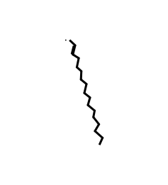 [CH2]C=CCCCCCCCCCCCCCC